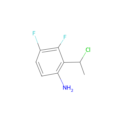 CC(Cl)c1c(N)ccc(F)c1F